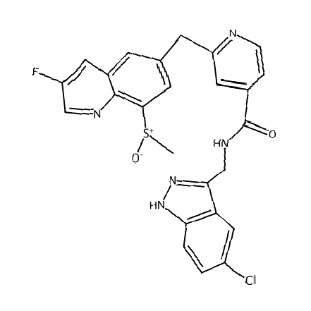 C[S+]([O-])c1cc(Cc2cc(C(=O)NCc3n[nH]c4ccc(Cl)cc34)ccn2)cc2cc(F)cnc12